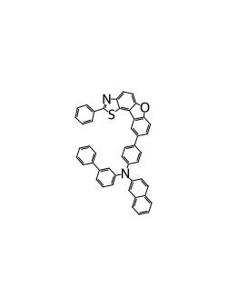 c1ccc(-c2cccc(N(c3ccc(-c4ccc5oc6ccc7nc(-c8ccccc8)sc7c6c5c4)cc3)c3ccc4ccccc4c3)c2)cc1